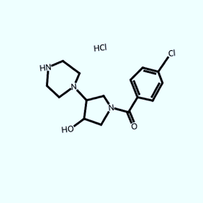 Cl.O=C(c1ccc(Cl)cc1)N1CC(O)C(N2CCNCC2)C1